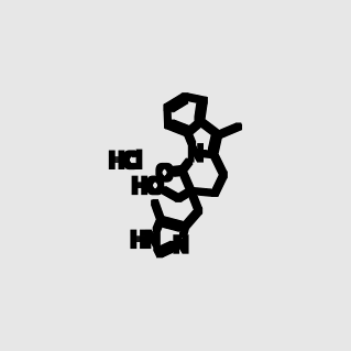 Cc1[nH]cnc1CC1(CO)CCc2c(C)c3ccccc3n2C1=O.Cl